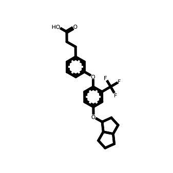 O=C(O)CCc1cccc(Oc2ccc(OC3CCC4CCCC43)cc2C(F)(F)F)c1